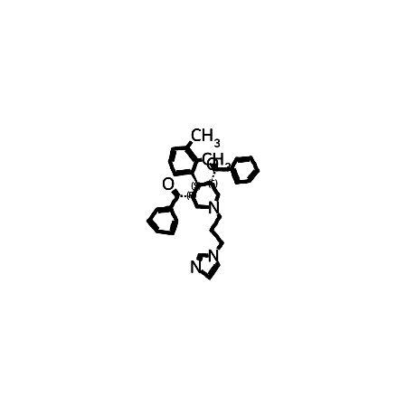 Cc1cccc([C@@H]2[C@@H](C(=O)c3ccccc3)CN(CCCn3ccnc3)C[C@H]2C(=O)c2ccccc2)c1C